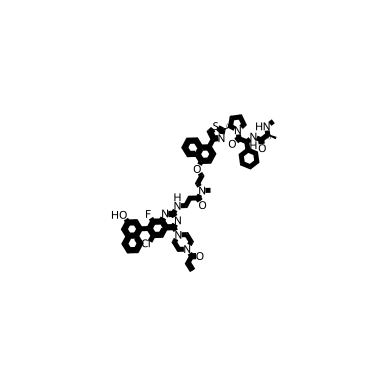 C=CC(=O)N1CCN(c2nc(NCCC(=O)N(C)CCOc3ccc(-c4csc([C@@H]5CCCN5C(=O)C(NC(=O)[C@H](C)NC)C5CCCCC5)n4)c4ccccc34)nc3c(F)c(-c4cc(O)cc5ccccc45)c(Cl)cc23)CC1